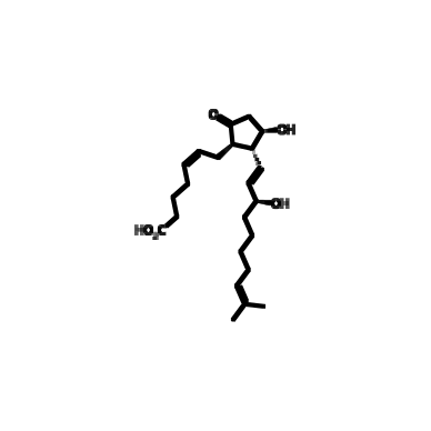 CC(C)=CCCCC[C@H](O)/C=C/[C@H]1[C@H](O)CC(=O)[C@@H]1C/C=C\CCCC(=O)O